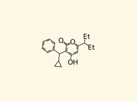 CCC(CC)c1cc(O)c(C(c2ccccc2)C2CC2)c(=O)o1